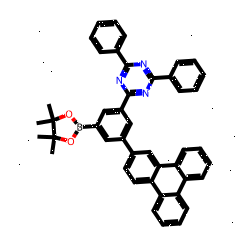 CC1(C)OB(c2cc(-c3ccc4c5ccccc5c5ccccc5c4c3)cc(-c3nc(-c4ccccc4)nc(-c4ccccc4)n3)c2)OC1(C)C